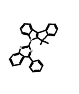 CC1(C)c2ccccc2-c2c1n(-c1nc(-c3ccccc3)c3ccccc3n1)c1ccccc21